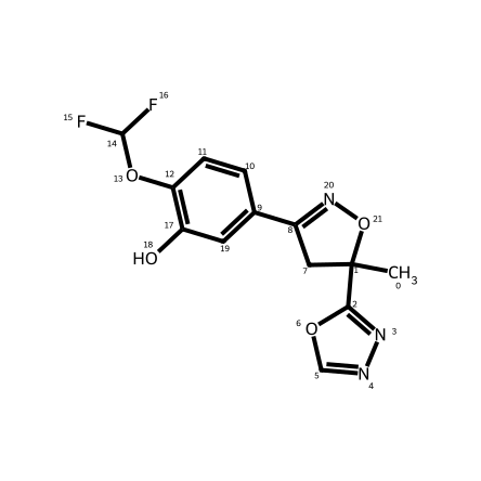 CC1(c2nnco2)CC(c2ccc(OC(F)F)c(O)c2)=NO1